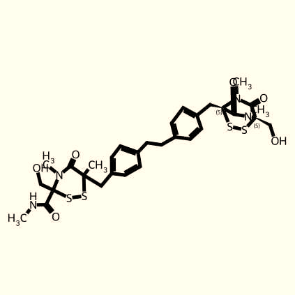 CNC(=O)C1(CO)SSC(C)(Cc2ccc(CCc3ccc(C[C@@]45SS[C@@](CO)(C(=O)N4C)N(C)C5=O)cc3)cc2)C(=O)N1C